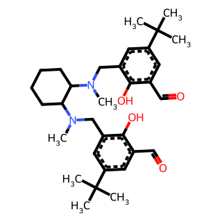 CN(Cc1cc(C(C)(C)C)cc(C=O)c1O)C1CCCCC1N(C)Cc1cc(C(C)(C)C)cc(C=O)c1O